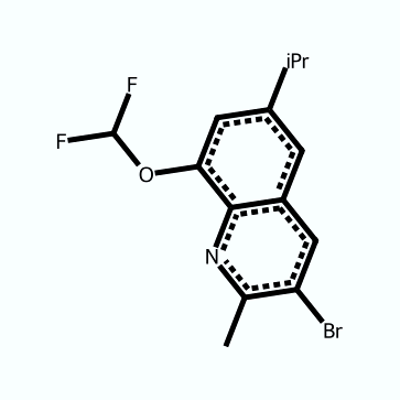 Cc1nc2c(OC(F)F)cc(C(C)C)cc2cc1Br